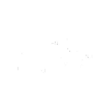 COc1cc(-c2cc3[nH]c(=O)n([C@@H]4CCCNC(=O)C4)c(=O)c3s2)c(Cl)cc1F